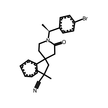 C[C@@H](c1ccc(Br)cc1)N1CCC(CC(C)(C)C#N)(c2ccccc2)CC1=O